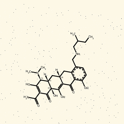 CCC(C)CNCc1ccc(O)c2c1C[C@H]1C[C@H]3[C@H](N(C)C)C(O)=C(C(N)=O)C(=O)[C@@]3(O)C(O)=C1C2=O